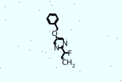 C=CC(F)c1ncc(OCc2ccccc2)cn1